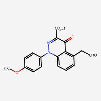 CCOC(=O)c1nn(-c2ccc(OC(F)(F)F)cc2)c2cccc(CC=O)c2c1=O